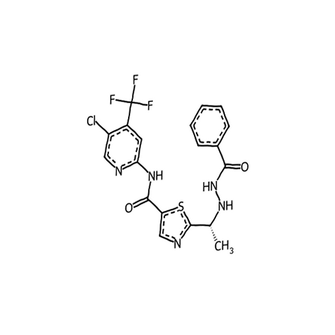 C[C@@H](NNC(=O)c1ccccc1)c1ncc(C(=O)Nc2cc(C(F)(F)F)c(Cl)cn2)s1